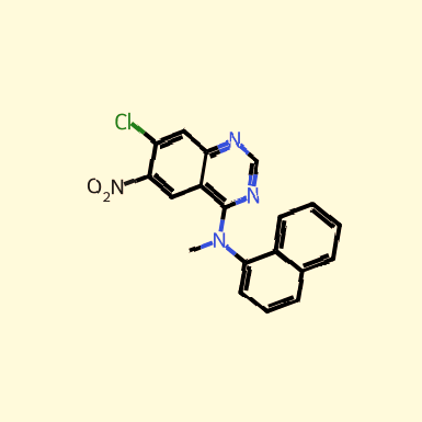 CN(c1cccc2ccccc12)c1ncnc2cc(Cl)c([N+](=O)[O-])cc12